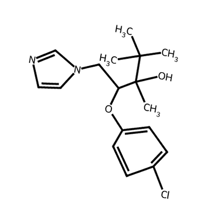 CC(C)(C)C(C)(O)C(Cn1ccnc1)Oc1ccc(Cl)cc1